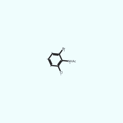 CC(=O)Nc1c(Cl)cccc1Br